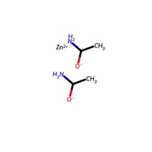 CC(N)[O-].CC(N)[O-].[Zn+2]